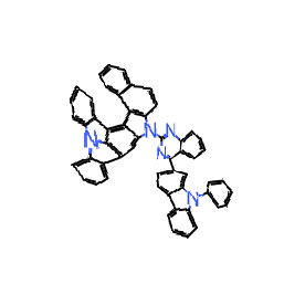 c1ccc(-n2c3ccccc3c3ccc(-c4nc(-n5c6ccc7ccccc7c6c6c7c8ccccc8n8c9ccccc9c(cc65)c78)nc5ccccc45)cc32)cc1